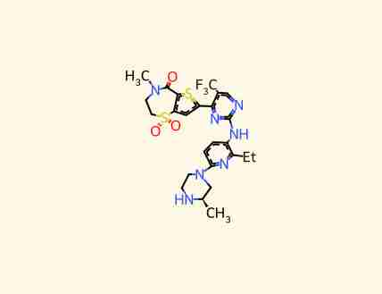 CCc1nc(N2CCN[C@H](C)C2)ccc1Nc1ncc(C(F)(F)F)c(-c2cc3c(s2)C(=O)N(C)CCS3(=O)=O)n1